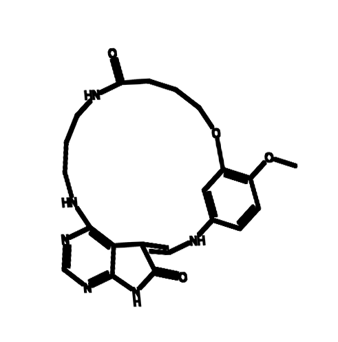 COc1ccc2cc1OCCCC(=O)NCCCNc1ncnc3c1/C(=C/N2)C(=O)N3